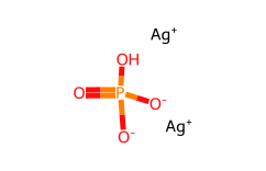 O=P([O-])([O-])O.[Ag+].[Ag+]